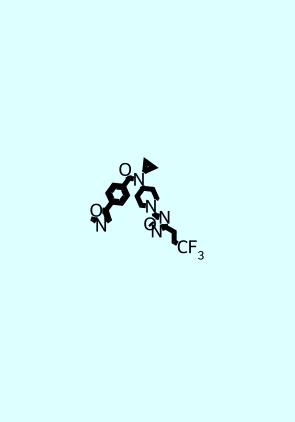 O=C(c1ccc(-c2cnco2)cc1)N(C1CC1)C1CCN(c2nc(CCC(F)(F)F)no2)CC1